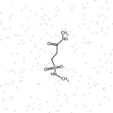 CNC(=O)CCS(=O)(=O)NC